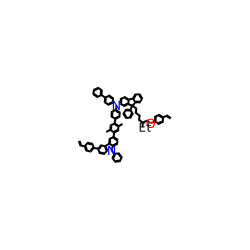 C=Cc1ccc(OCC(CC)CCCCC2(c3ccccc3)c3ccccc3-c3ccc(N(c4ccc(-c5ccccc5)cc4)c4ccc(-c5cc(C)c(-c6ccc7c(c6)c6cc(-c8ccc(C=C)cc8)ccc6n7-c6ccccc6)cc5C)cc4)cc32)cc1